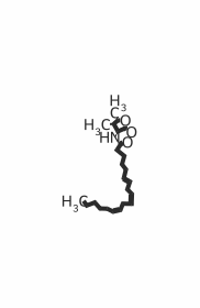 CCCCC/C=C\C/C=C\C/C=C/CCCCC(=O)N[C@H]1C(=O)O[C@@H](C)[C@@H]1C